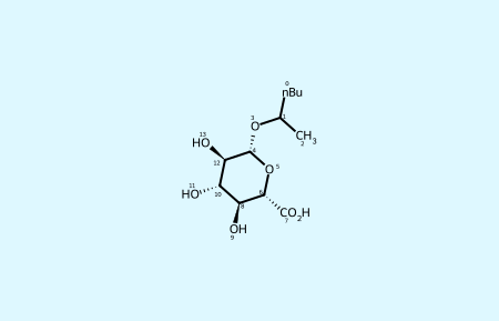 CCCCC(C)O[C@@H]1O[C@H](C(=O)O)[C@@H](O)[C@H](O)[C@H]1O